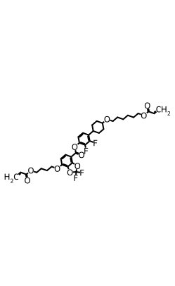 C=CC(=O)OCCCCCCOC1CCC(c2ccc(OC(=O)c3ccc(OCCCCOC(=O)C=C)c4c3OC(F)(F)O4)c(F)c2F)CC1